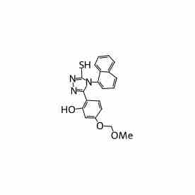 COCOc1ccc(-c2nnc(S)n2-c2cccc3ccccc23)c(O)c1